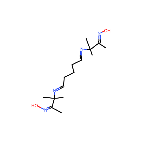 CC(=NO)C(C)(C)N=CCCCC=NC(C)(C)C(C)=NO